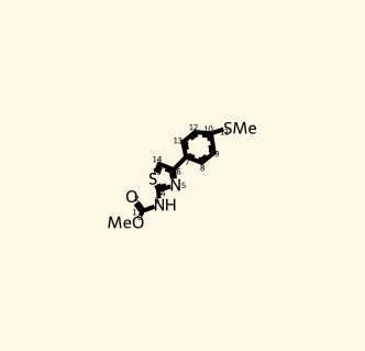 COC(=O)Nc1nc(-c2ccc(SC)cc2)cs1